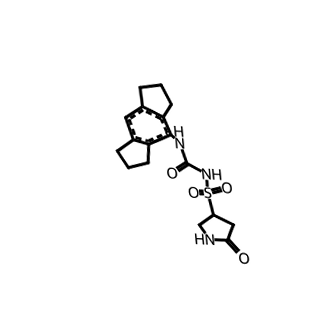 O=C1CC(S(=O)(=O)NC(=O)Nc2c3c(cc4c2CCC4)CCC3)CN1